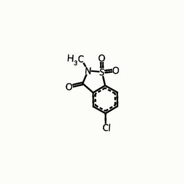 CN1C(=O)c2cc(Cl)ccc2S1(=O)=O